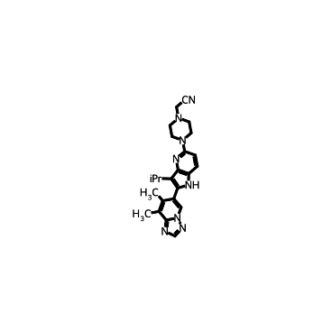 Cc1c(-c2[nH]c3ccc(N4CCN(CC#N)CC4)nc3c2C(C)C)cn2ncnc2c1C